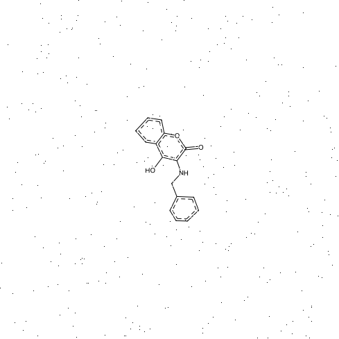 O=c1oc2ccccc2c(O)c1NCc1ccccc1